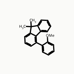 COc1ccccc1-c1cccc2c1-c1ccccc1C2(C)C